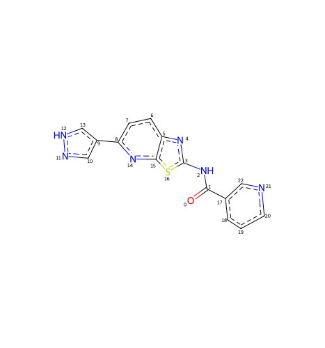 O=C(Nc1nc2ccc(-c3cn[nH]c3)nc2s1)c1cccnc1